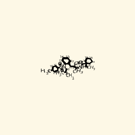 CCC1(C(=O)N[C@@H](C)[C@H](O)Cc2ccccc2N(CC(C)C)S(=O)(=O)c2ccc(C)cc2)CCCCC1